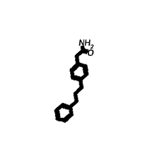 NC(=O)Cc1ccc(CCCc2ccccc2)cc1